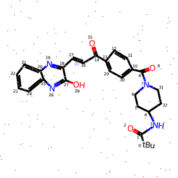 CC(C)(C)C(=O)NC1CCN(C(=O)c2ccc(C(=O)/C=C/c3nc4ccccc4nc3O)cc2)CC1